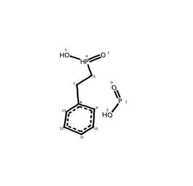 O=PO.O=[PH](O)CCc1ccccc1